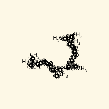 Cc1ccc(N(c2ccc3cc4c(cc3c2)oc2cc3oc5cc6cc(N(c7ccccc7C)c7ccc(CCc8ccc(N(c9ccc%10cc%11c(cc%10c9)oc9cc%10oc%12cc%13cc(N(c%14ccc(C)cc%14C)c%14ccc(C)cc%14C)ccc%13cc%12c%10cc9%11)c9ccc(C)cc9C)c(C)c8)cc7C)ccc6cc5c3cc24)c2ccccc2C)c(C)c1